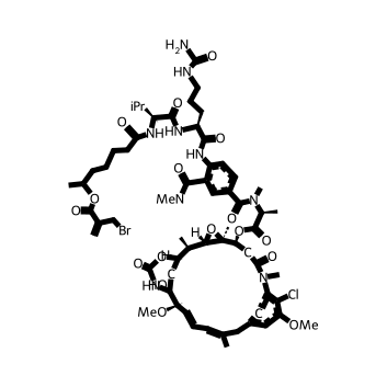 C=C(CBr)C(=O)OC(C)CCCCC(=O)N[C@H](C(=O)N[C@@H](CCCNC(N)=O)C(=O)Nc1ccc(C(=O)N(C)[C@@H](C)C(=O)O[C@H]2CC(=O)N(C)c3cc(cc(OC)c3Cl)C/C(C)=C/C=C/[C@@H](OC)[C@@]3(O)C[C@H](OC(=O)N3)[C@@H](C)[C@@H]3O[C@@]23C)cc1C(=O)NC)C(C)C